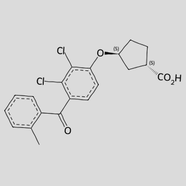 Cc1ccccc1C(=O)c1ccc(O[C@H]2CC[C@H](C(=O)O)C2)c(Cl)c1Cl